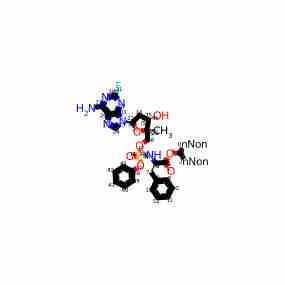 CCCCCCCCCC(CCCCCCCCC)OC(=O)[C@H](Cc1ccccc1)NP(=O)(OC[C@@]1(C)O[C@@H](n2cnc3c(N)nc(F)nc32)C[C@@H]1O)Oc1ccccc1